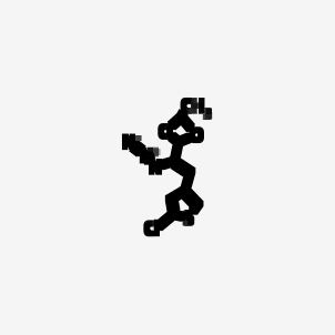 CC1OC(/C(=C/c2csc(Cl)c2)N=[N+]=[N-])O1